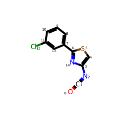 O=C=Nc1csc(-c2cccc(Cl)c2)n1